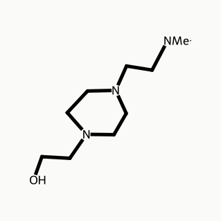 C[N]CCN1CCN(CCO)CC1